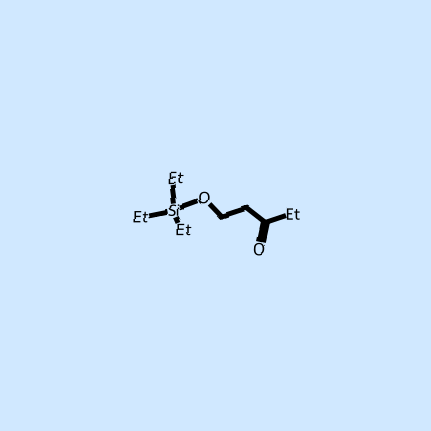 CCC(=O)CCO[Si](CC)(CC)CC